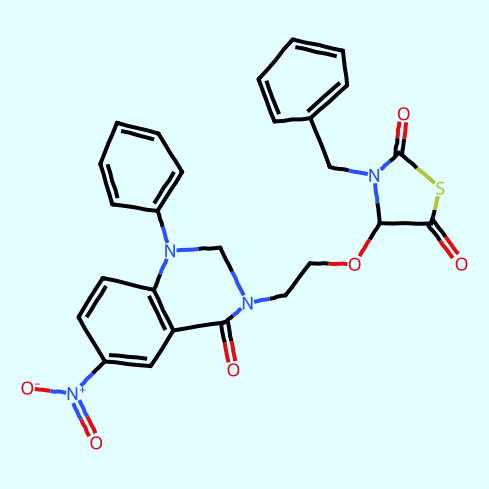 O=C1SC(=O)N(Cc2ccccc2)C1OCCN1CN(c2ccccc2)c2ccc([N+](=O)[O-])cc2C1=O